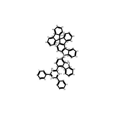 c1ccc(-c2nc(-c3ccccc3)nc(-c3ccc(-n4c5ccccc5c5c6c(ccc54)C4(c5ccccc5-c5ccccc54)c4ccccc4-6)c4oc5ccccc5c34)n2)cc1